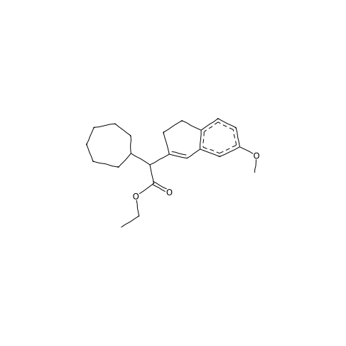 CCOC(=O)C(C1=Cc2cc(OC)ccc2CC1)C1CCCCCC1